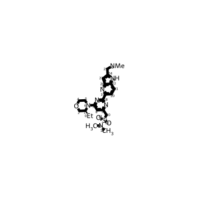 CC[C@H]1COCCN1c1cc(CS(=O)(=O)N(C)C)nc(-c2ccc3[nH]c(CNC)cc3n2)n1